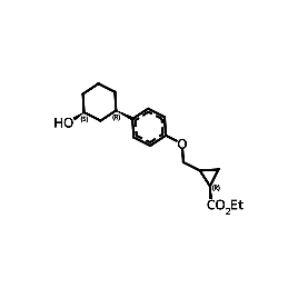 CCOC(=O)[C@@H]1CC1COc1ccc([C@@H]2CCC[C@H](O)C2)cc1